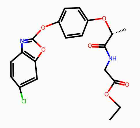 CCOC(=O)CNC(=O)[C@@H](C)Oc1ccc(Oc2nc3ccc(Cl)cc3o2)cc1